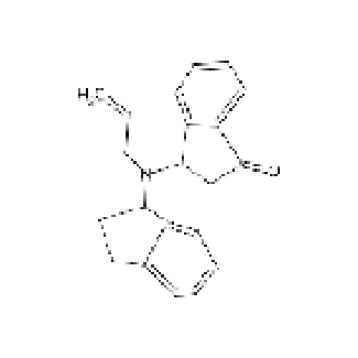 C=CCN(C1CCc2ccccc21)C1CC(=O)c2ccccc21